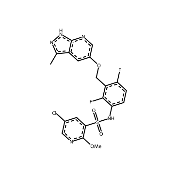 COc1ncc(Cl)cc1S(=O)(=O)Nc1ccc(F)c(COc2cnc3[nH]nc(C)c3c2)c1F